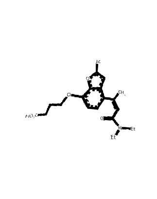 CCN(CC)C(=O)/C=C(/C)c1ccc(OCCCC(=O)O)c2oc(C(C)=O)cc12